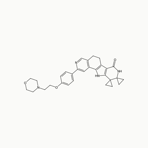 O=C1NC2(CC2)C2(CC2)c2[nH]c3c(c21)CCc1cnc(-c2ccc(OCCN4CCOCC4)cc2)cc1-3